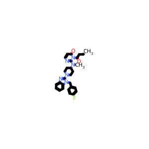 CCCC(=O)n1c(N(C)C2CCN(c3nc4ccccc4n3Cc3ccc(F)cc3)CC2)nccc1=O